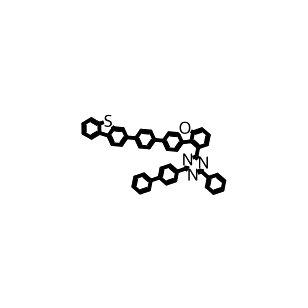 c1ccc(-c2ccc(-c3nc(-c4ccccc4)nc(-c4cccc5oc6cc(-c7ccc(-c8ccc9c(c8)sc8ccccc89)cc7)ccc6c45)n3)cc2)cc1